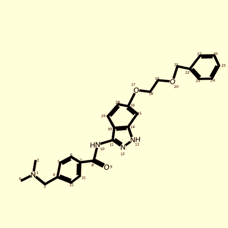 CN(C)Cc1ccc(C(=O)Nc2n[nH]c3cc(OCCOCc4ccccc4)ccc23)cc1